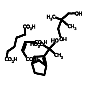 CC(C)(CO)CO.CC(O)(C(=O)O)C1=C2CCC(C2)C1.O=C(O)/C=C\C(=O)O.O=C(O)CCCCC(=O)O